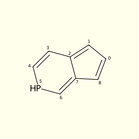 c1cc2cc[pH]cc-2c1